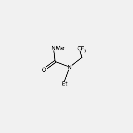 CCN(CC(F)(F)F)C(=O)[N]C